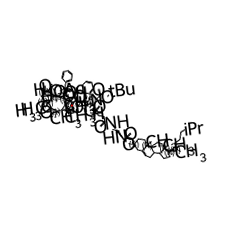 CC(=O)O[C@@]12CO[C@@H]1C[C@H](C)[C@@]1(C)C(=O)[C@H](C)C3=C(C)[C@@H](OC(=O)[C@H](OC(=O)CCC(=O)NCCNC(=O)O[C@H]4CC[C@@]5(C)C(=CCC6C5CC[C@@]5(C)C6CC[C@@H]5[C@H](C)CCCC(C)C)C4)[C@@H](NC(=O)OC(C)(C)C)c4ccccc4)C[C@@](O)([C@@H](OC(=O)c4ccccc4)[C@H]21)C3(C)C